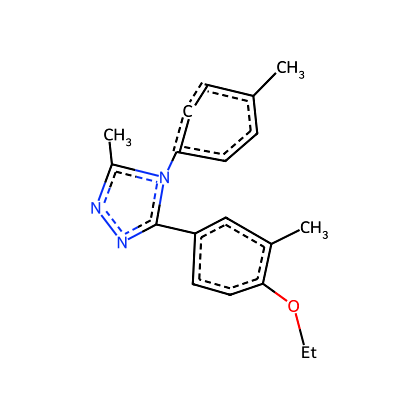 CCOc1ccc(-c2nnc(C)n2-c2ccc(C)cc2)cc1C